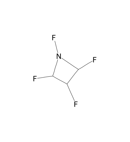 FC1C(F)N(F)C1F